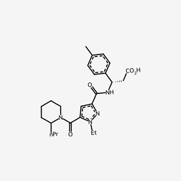 CCCC1CCCCN1C(=O)c1cc(C(=O)N[C@@H](CC(=O)O)c2ccc(C)cc2)nn1CC